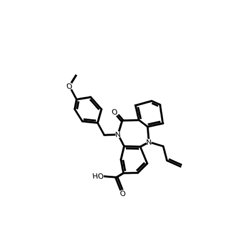 C=CCN1c2ccccc2C(=O)N(Cc2ccc(OC)cc2)c2cc(C(=O)O)ccc21